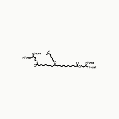 CCCCCC(CCCCC)CCOC(=O)CCCCCCCCCC(CCCCCCCC(=O)OCCC(CCCCC)CCCCC)OCCCCN(C)C